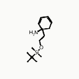 CC(C)(C)[Si](C)(C)OCCC1(N)C=CC=CC1